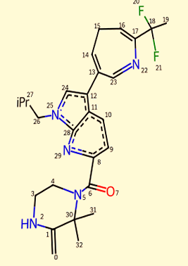 C=C1NCCN(C(=O)c2ccc3c(C4=CCC=C(C(C)(F)F)N=C4)cn(CC(C)C)c3n2)C1(C)C